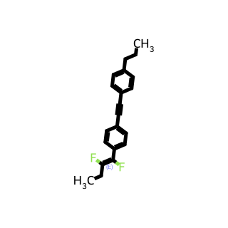 CCCc1ccc(C#Cc2ccc(/C(F)=C(\F)CC)cc2)cc1